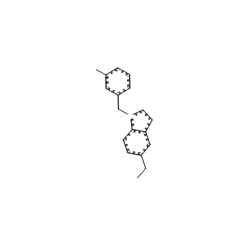 CCc1ccc2c(ccn2Cc2cccc(F)c2)c1